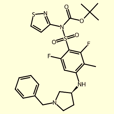 Cc1c(N[C@H]2CCN(Cc3ccccc3)C2)cc(F)c(S(=O)(=O)N(C(=O)OC(C)(C)C)c2ccsn2)c1F